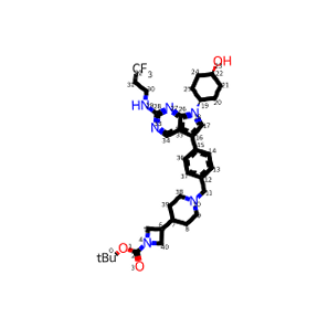 CC(C)(C)OC(=O)N1CC(C2CCN(Cc3ccc(-c4cn([C@H]5CC[C@H](O)CC5)c5nc(NCCC(F)(F)F)ncc45)cc3)CC2)C1